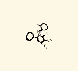 CC1CCCC/C1=N\n1c(-c2ccccc2)cc(C(F)(F)F)c(C#N)c1=O